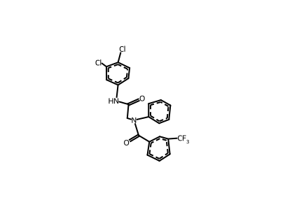 O=C(CN(C(=O)c1cccc(C(F)(F)F)c1)c1ccccc1)Nc1ccc(Cl)c(Cl)c1